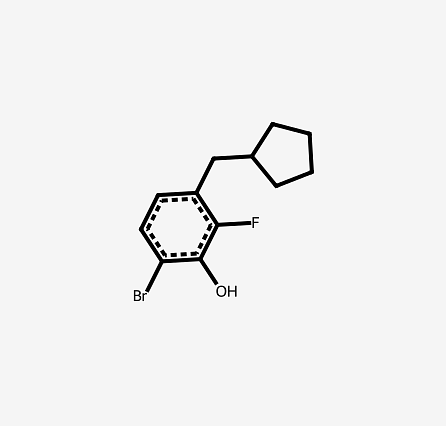 Oc1c(Br)ccc(CC2CCCC2)c1F